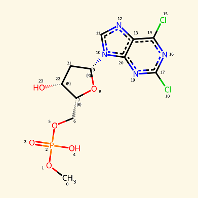 COP(=O)(O)OC[C@H]1O[C@@H](n2cnc3c(Cl)nc(Cl)nc32)C[C@H]1O